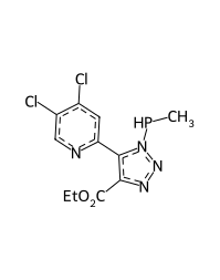 CCOC(=O)c1nnn(PC)c1-c1cc(Cl)c(Cl)cn1